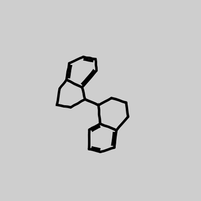 c1ccc2c(c1)CCC[C]2C1CCCc2ccccc21